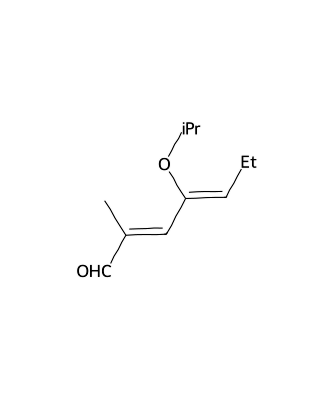 CC/C=C(/C=C(\C)C=O)OC(C)C